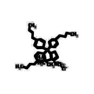 CCCCc1ccc([Si](C2=C(C(C)(C)C)[C]([Ti+3])=CC2)(c2ccc(CCCC)cc2)c2ccc(CCCC)cc2)cc1.[Cl-].[Cl-].[Cl-]